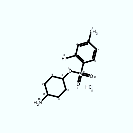 CCc1cc(C)ccc1S(=O)(=O)OC1CCC(N)CC1.Cl